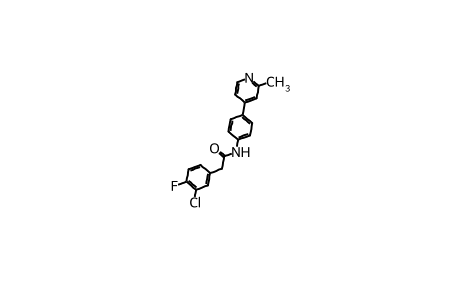 Cc1cc(-c2ccc(NC(=O)Cc3ccc(F)c(Cl)c3)cc2)ccn1